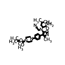 Cc1noc(N(CC#N)C(CC(C)C)C(N)=O)c1-c1ccc(N2CCN(C(=O)OC(C)(C)C)CC2)cc1